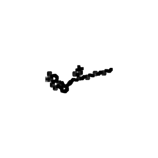 CCCOCCOCCOCCN(CCC#Cc1cccc2c1CN(C1CCC(=O)NC1=O)C2=O)C(=O)OC(C)(C)C